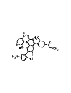 C=CC(=O)N1CCN(c2nc(=O)n(-c3c(C)ccnc3CCC)c3nc(-c4cc(N)ccc4Cl)c(F)cc23)[C@@H](C)C1